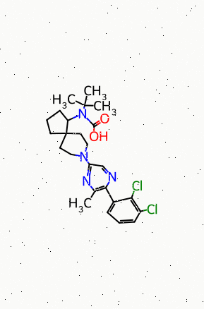 Cc1nc(N2CCC3(CCCC3N(C(=O)O)C(C)(C)C)CC2)cnc1-c1cccc(Cl)c1Cl